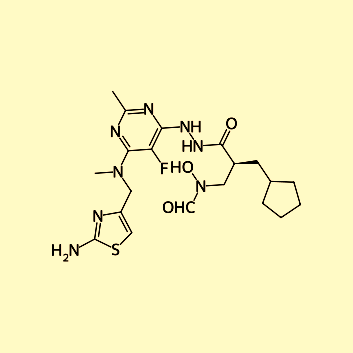 Cc1nc(NNC(=O)[C@@H](CC2CCCC2)CN(O)C=O)c(F)c(N(C)Cc2csc(N)n2)n1